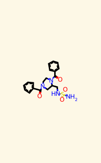 NS(=O)(=O)NCC1CN(C(=O)c2ccccc2)CCN1C(=O)c1ccccc1